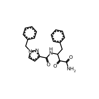 NC(=O)C(=O)C(Cc1ccccc1)NC(=O)c1ccn(Cc2ccccc2)n1